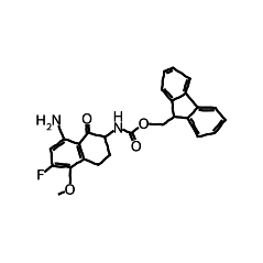 COc1c(F)cc(N)c2c1CCC(NC(=O)OCC1c3ccccc3-c3ccccc31)C2=O